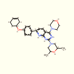 CC1CN(c2nc(N3CCOCC3)c3ccc(-c4ccc(OC5CC=CCC5)cc4)nc3n2)CC(C)O1